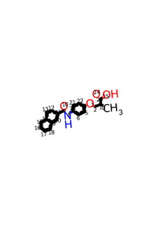 CC(COc1ccc(NC(=O)c2ccc3ccccc3c2)cc1)C(=O)O